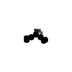 Nc1cc(-c2ccc(C34CC5CC(CC(C5)C3)C4)cc2)cc(-c2ccc(C34CC5CC(CC(C5)C3)C4)cc2)c1